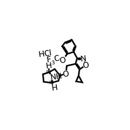 Cl.FC(F)(F)Oc1ccccc1-c1noc(C2CC2)c1COC1C[C@H]2CC[C@@H](C1)N2